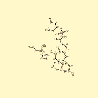 C=CC[C@H](CO)CS(=O)(=O)NC(=O)c1ccc2c(c1)N(C[C@@H]1CC[C@H]1[C@@H](O)CC=C)C[C@@]1(CCCc3cc(Cl)ccc31)CO2